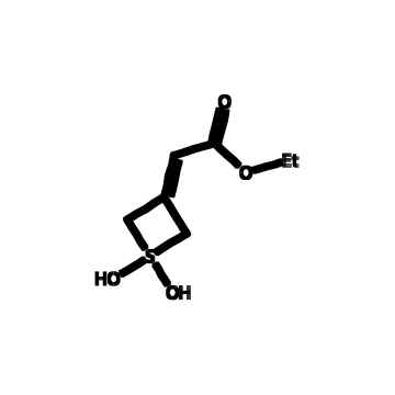 CCOC(=O)C=C1CS(O)(O)C1